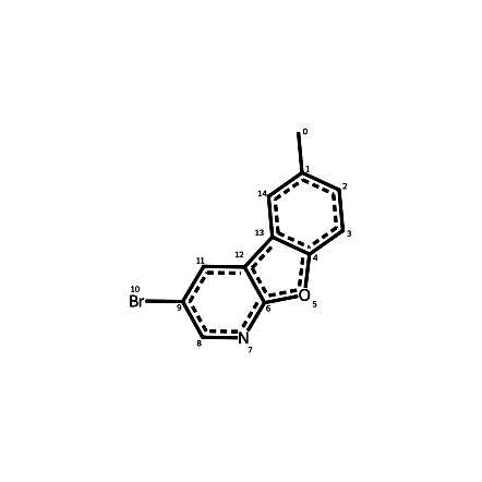 Cc1ccc2oc3ncc(Br)cc3c2c1